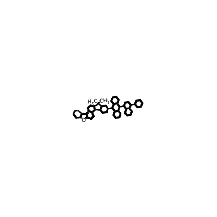 CC1(C)c2cc(-c3c4ccccc4c(-c4ccc(-c5ccccc5)c5ccccc45)c4ccccc34)ccc2-c2c1ccc1c2ccc2oc3c(c21)CCC=C3